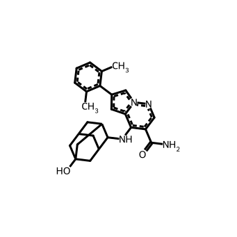 Cc1cccc(C)c1-c1cc2c(NC3C4CC5CC3CC(O)(C5)C4)c(C(N)=O)cnn2c1